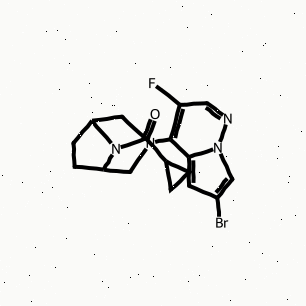 O=C(C1CC1)N1C2CCC1CN(c1c(F)cnn3cc(Br)cc13)C2